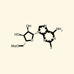 COC[C@H]1O[C@@H](n2cnc3c(N)nc(F)nc32)[C@H](O)[C@@H]1O